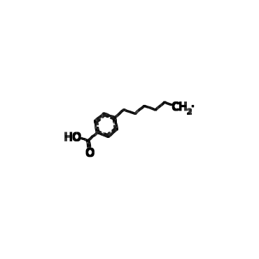 [CH2]CCCCCc1ccc(C(=O)O)cc1